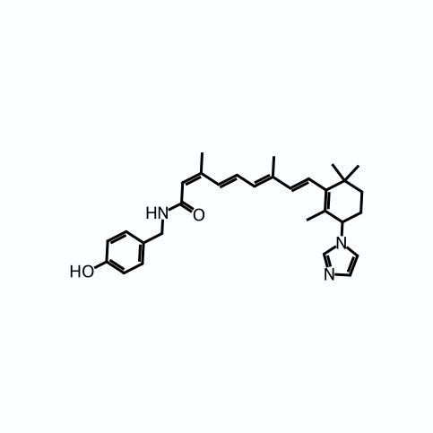 CC1=C(/C=C/C(C)=C/C=C/C(C)=C\C(=O)NCc2ccc(O)cc2)C(C)(C)CCC1n1ccnc1